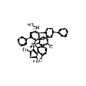 Cl.Cl.[CH2]=[Zr]([C]1=CC(C(C)(C)C)=CC1CC)([c]1cccc(Cl)c1)([c]1cccc(Cl)c1)[c]1c(-c2ccccc2)ccc2c1Cc1cc(-c3ccccc3)ccc1-2